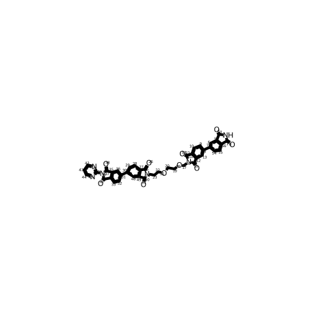 O=C1NC(=O)c2cc(-c3ccc4c(c3)C(=O)N(COCCOCCN3C(=O)c5ccc(-c6ccc7c(c6)C(=O)N(c6ncccn6)C7=O)cc5C3=O)C4=O)ccc21